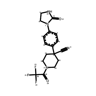 N#CC1(c2ccc(N3CCNC3=O)cc2)CCN(C(=O)C(F)(F)F)CC1